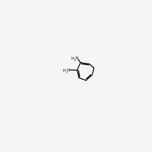 NC1=CC=CCC=C1N